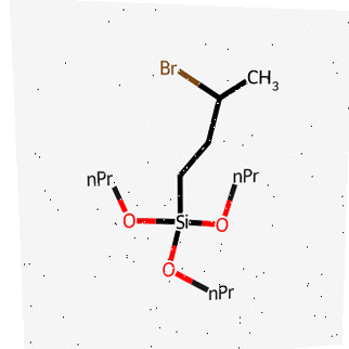 CCCO[Si](CCC(C)Br)(OCCC)OCCC